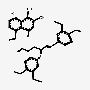 CCCCC(C=Nc1ccc(CC)c(CC)c1)=Nc1ccc(CC)c(CC)c1.CCc1cccc2c(O)c(O)cc(C)c12.[Pd]